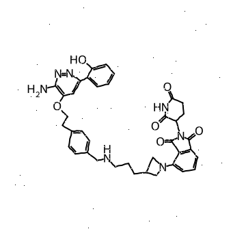 Nc1nnc(-c2ccccc2O)cc1OCCc1ccc(CNCCCC2CN(c3cccc4c3C(=O)N(C3CCC(=O)NC3=O)C4=O)C2)cc1